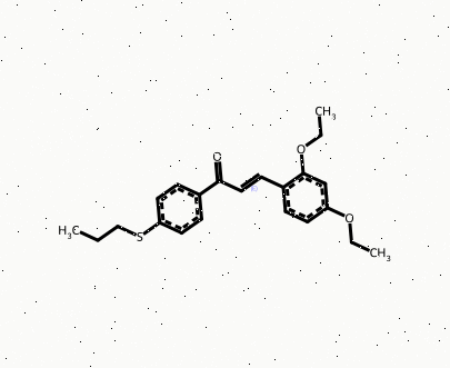 CCCSc1ccc(C(=O)/C=C/c2ccc(OCC)cc2OCC)cc1